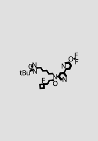 CC(C)(C)c1nc(CCCCCN(C(=O)CCC2(F)CCC2)c2cncc(-c3ccc(OC(F)F)cn3)c2)no1